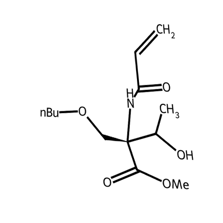 C=CC(=O)N[C@@](COCCCC)(C(=O)OC)C(C)O